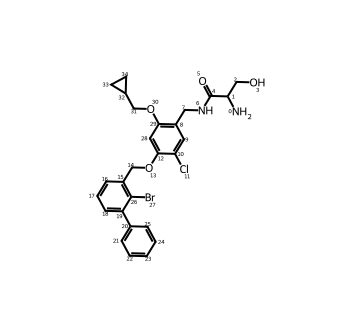 NC(CO)C(=O)NCc1cc(Cl)c(OCc2cccc(-c3ccccc3)c2Br)cc1OCC1CC1